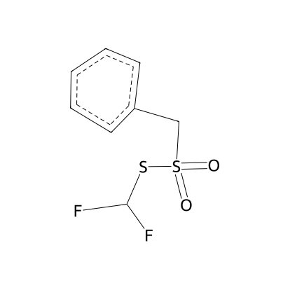 O=S(=O)(Cc1ccccc1)SC(F)F